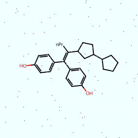 CCCC(=C(c1ccc(O)cc1)c1ccc(O)cc1)C1CCC(C2CCCC2)C1